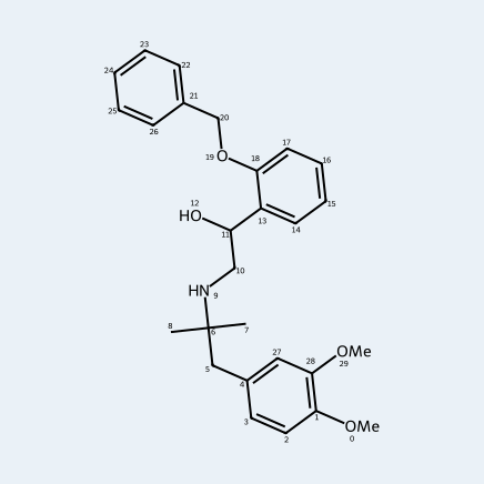 COc1ccc(CC(C)(C)NCC(O)c2ccccc2OCc2ccccc2)cc1OC